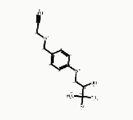 C#CCOCc1ccc(OCC(O)C(C)(C)Br)cc1